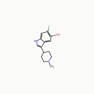 CN1CCC(c2c[nH]c3cc(F)c(O)cc23)CC1